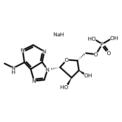 CNc1ncnc2c1ncn2[C@@H]1O[C@H](COP(=O)(O)O)[C@@H](O)[C@H]1O.[NaH]